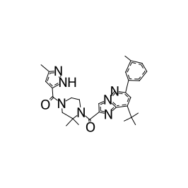 Cc1cccc(-c2cc(C(C)(C)C)c3nc(C(=O)N4CCN(C(=O)c5cc(C)n[nH]5)CC4(C)C)cn3n2)c1